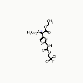 CCOC(=O)/C(=N/OC)c1csc(NC(=O)OCC(Cl)(Cl)Cl)n1